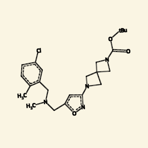 Cc1ccc(Cl)cc1CN(C)Cc1cc(N2CC3(CN(C(=O)OC(C)(C)C)C3)C2)no1